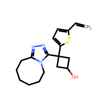 C=Cc1ccc(C2(c3nnc4n3CCCCCC4)CC(O)C2)s1